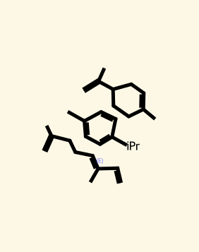 C=C(C)C1CC=C(C)CC1.C=C/C(C)=C/CCC(=C)C.Cc1ccc(C(C)C)cc1